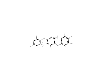 Cc1cc(C)c(Cc2cc(C)c(Cc3cc(C)c(C)c(C)c3)c(F)c2)c(F)c1